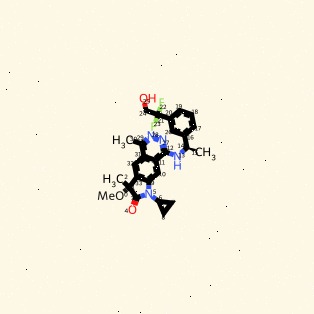 COC1(C)C(=O)N(C2CC2)c2cc3c(N[C@H](C)c4cccc(C(F)(F)CO)c4)nnc(C)c3cc21